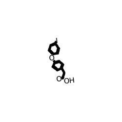 O=C(O)Cc1ccc(Oc2ccc(I)cc2)cc1